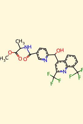 COC(=O)C(C)NC(=O)c1ccc(C(O)c2cc(C(F)(F)F)nc3c(C(F)(F)F)cccc23)nc1